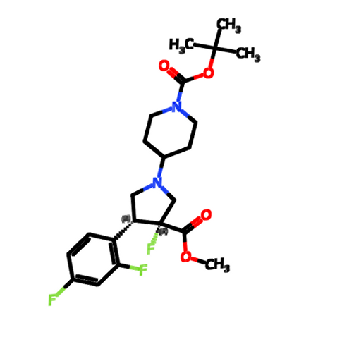 COC(=O)[C@]1(F)CN(C2CCN(C(=O)OC(C)(C)C)CC2)C[C@H]1c1ccc(F)cc1F